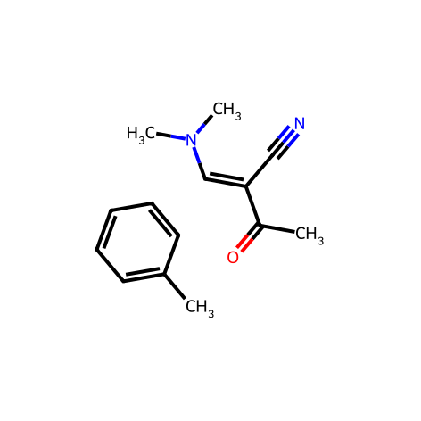 CC(=O)C(C#N)=CN(C)C.Cc1ccccc1